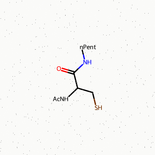 CCCCCNC(=O)C(CS)NC(C)=O